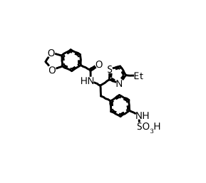 CCc1csc(C(Cc2ccc(NS(=O)(=O)O)cc2)NC(=O)c2ccc3c(c2)OCO3)n1